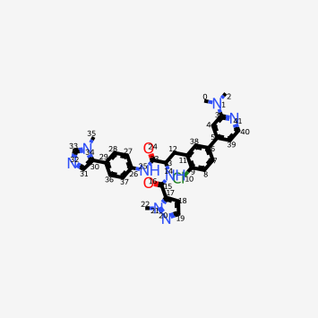 CN(C)c1cc(-c2ccc(Cl)c(CC(NC(=O)c3ccnn3C)C(=O)Nc3ccc(-c4cncn4C)cc3)c2)ccn1